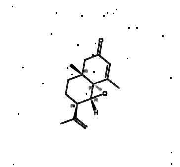 C=C(C)[C@H]1CC[C@]2(C)CC(=O)C=C(C)[C@]23O[C@H]13